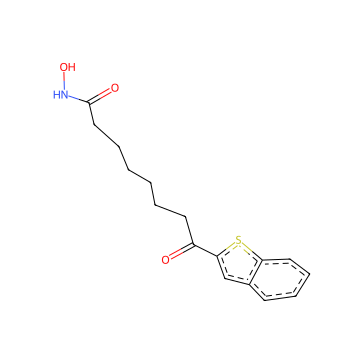 O=C(CCCCCCC(=O)c1cc2ccccc2s1)NO